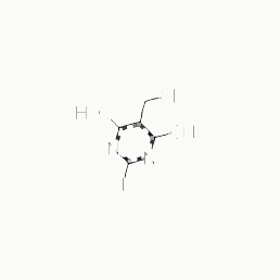 Cc1nc(I)nc(C)c1CCl